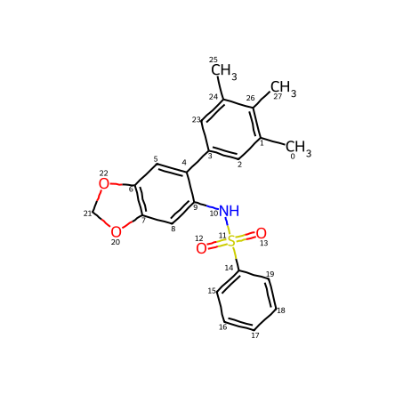 Cc1cc(-c2cc3c(cc2NS(=O)(=O)c2ccccc2)OCO3)cc(C)c1C